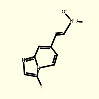 C[NH+]([O-])/C=C/c1ccn2c(I)cnc2c1